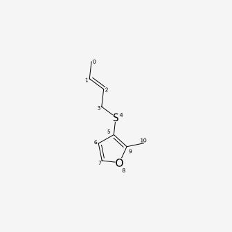 CC=CCSc1ccoc1C